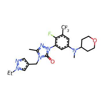 CCn1cc(Cn2c(C)nn(-c3cc(N(C)C4CCOCC4)cc(C(F)(F)F)c3F)c2=O)cn1